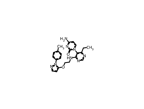 CCc1ncnc(NCCOc2ccnn2-c2ccc(C)cc2)c1-n1ccc(N)nc1=O